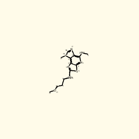 CNc1nc2sc(NCCCOC)nc2c2c1ncn2C